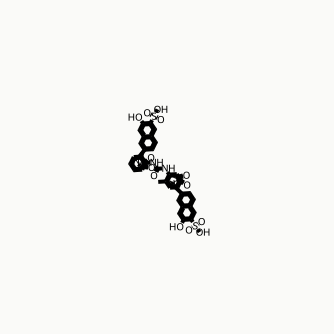 Cc1c2ccc(c1NC(=O)Nc1c3ccc(c1C)N(c1ccc4cc(S(=O)(=O)O)c(O)cc4c1)S3(=O)=O)S(=O)(=O)N2c1ccc2cc(S(=O)(=O)O)c(O)cc2c1